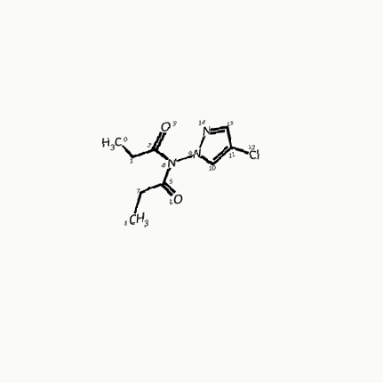 CCC(=O)N(C(=O)CC)n1cc(Cl)cn1